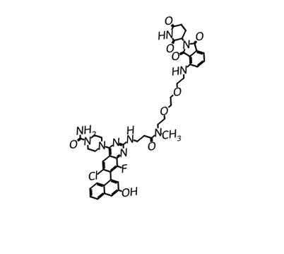 CN(CCOCCOCCNc1cccc2c1C(=O)N(C1CCC(=O)NC1=O)C2=O)C(=O)CCNc1nc(N2CCN(C(N)=O)CC2)c2cc(Cl)c(-c3cc(O)cc4ccccc34)c(F)c2n1